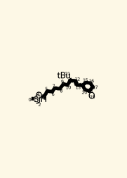 C[SiH](C)OCCCCCCCC(C=CC1CCCC(=O)C1)C(C)(C)C